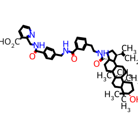 C=C(C)[C@@H]1CC[C@]2(C(=O)NCCc3cccc(C(=O)NCc4ccc(C(=O)NCc5ncccc5C(=O)O)cc4)c3)CC[C@]3(C)C(CCC4[C@@]5(C)CC[C@H](O)C(C)(C)C5CC[C@]43C)C12